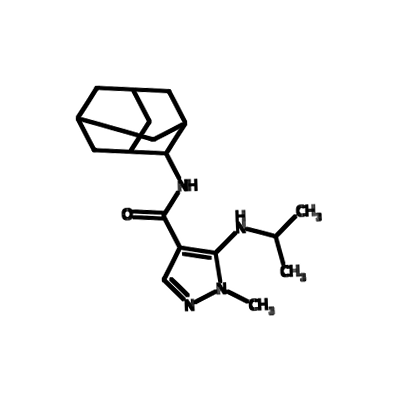 CC(C)Nc1c(C(=O)NC2C3CC4CC(C3)CC2C4)cnn1C